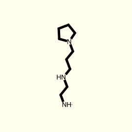 [NH]CCNCCCN1CCCC1